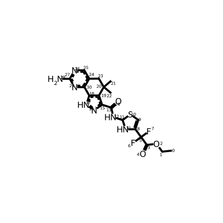 CCOC(=O)C(F)(F)C1=CSC(NC(=O)c2n[nH]c3c2C(C)(C)Cc2cnc(N)nc2-3)N1